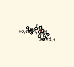 CC1C[C@H](c2cc3nc(C4CCCN4C(=O)C(NC(=O)O)C4CCCC4)[nH]c3cc2F)N(c2cc(F)c(N3CCC(C(C)(C)C)CC3)c(F)c2)[C@]1(C)c1cc2nc(C3CCCN3C(=O)[C@@H](NC(=O)O)C3CCCC3)[nH]c2cc1F